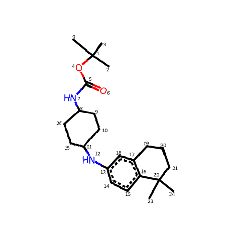 CC(C)(C)OC(=O)NC1CCC(Nc2ccc3c(c2)CCCC3(C)C)CC1